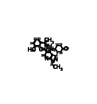 CCn1ncc2c(NC3CCC(=O)CC3)c(C(=O)NC(C)c3cccc(O)c3)cnc21